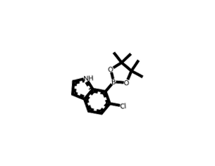 CC1(C)OB(c2c(Cl)ccc3cc[nH]c23)OC1(C)C